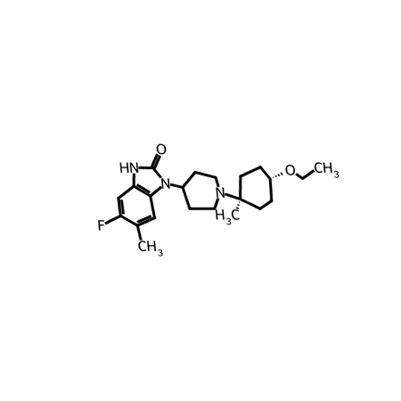 CCO[C@H]1CC[C@](C)(N2CCC(n3c(=O)[nH]c4cc(F)c(C)cc43)CC2)CC1